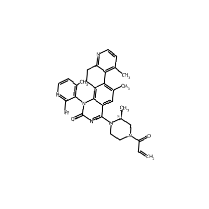 C=CC(=O)N1CCN(c2nc(=O)n(-c3c(C)ccnc3C(C)C)c3c4c(c(C)cc23)-c2c(C)ccnc2CC4)[C@@H](C)C1